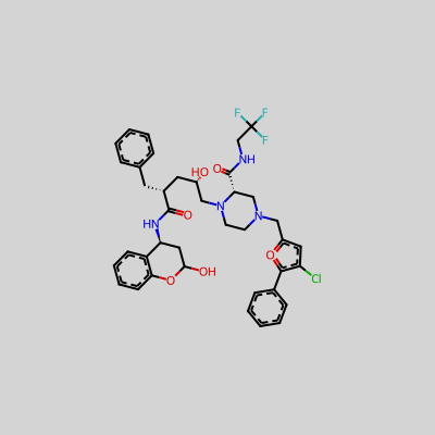 O=C(N[C@H]1CC(O)Oc2ccccc21)[C@H](Cc1ccccc1)C[C@H](O)CN1CCN(Cc2cc(Cl)c(-c3ccccc3)o2)C[C@H]1C(=O)NCC(F)(F)F